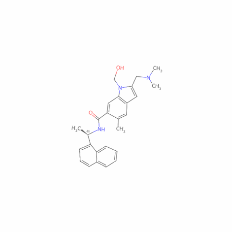 Cc1cc2cc(CN(C)C)n(CO)c2cc1C(=O)N[C@H](C)c1cccc2ccccc12